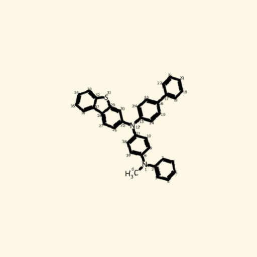 CN(c1ccccc1)c1ccc(N(c2ccc(-c3ccccc3)cc2)c2ccc3c(c2)sc2ccccc23)cc1